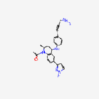 CC(=O)N1c2ccc(-c3cc[nH]n3)cc2[C@H](Nc2ccc(C#CCN)cc2)C[C@@H]1C